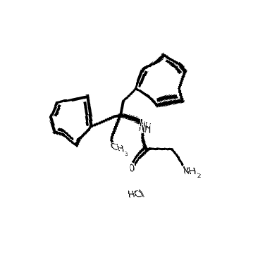 CC(Cc1ccccc1)(NC(=O)CN)c1ccccc1.Cl